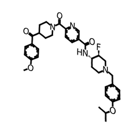 COc1ccc(C(=O)C2CCN(C(=O)c3ccc(C(=O)N[C@H]4CCN(Cc5ccc(OC(C)C)cc5)C[C@@H]4F)cn3)CC2)cc1